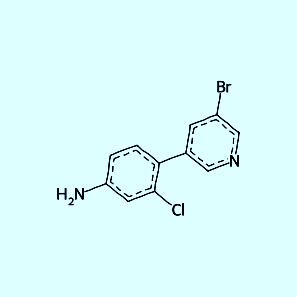 Nc1ccc(-c2cncc(Br)c2)c(Cl)c1